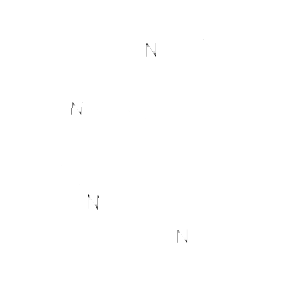 CN(C)c1cc(N(C)C)ncn1